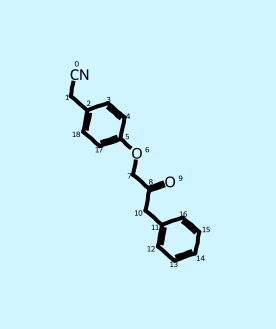 N#CCc1ccc(OCC(=O)Cc2ccccc2)cc1